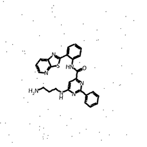 NCCCNc1cc(C(=O)Nc2ccccc2-c2nc3cccnc3s2)nc(-c2ccccc2)n1